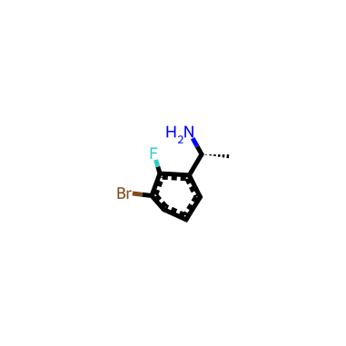 C[C@@H](N)c1cccc(Br)c1F